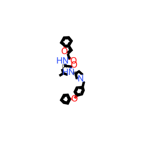 CC(C)C[C@H](NC(=O)c1cc2ccccc2o1)C(=O)N[C@H]1CCN(Cc2ccc(Oc3ccccc3)cc2)C1